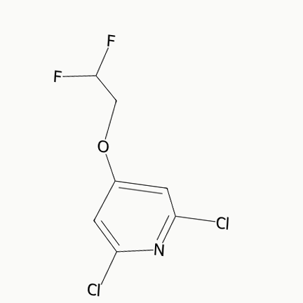 FC(F)COc1cc(Cl)nc(Cl)c1